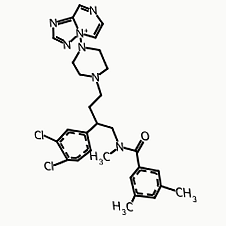 Cc1cc(C)cc(C(=O)N(C)CC(CCN2CCN([N+]34C=CN=CC3=NC=N4)CC2)c2ccc(Cl)c(Cl)c2)c1